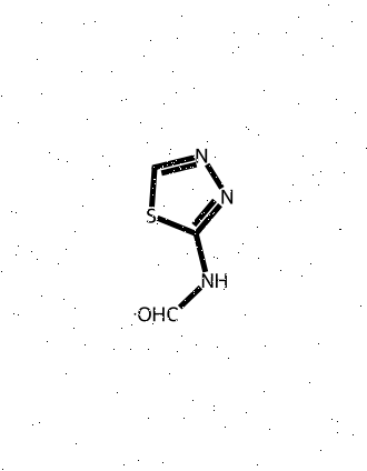 O=[C]Nc1nncs1